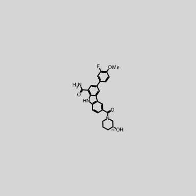 COc1ccc(-c2cc(C(N)=O)c3[nH]c4ccc(C(=O)N5CCC[C@H](O)C5)cc4c3c2)cc1F